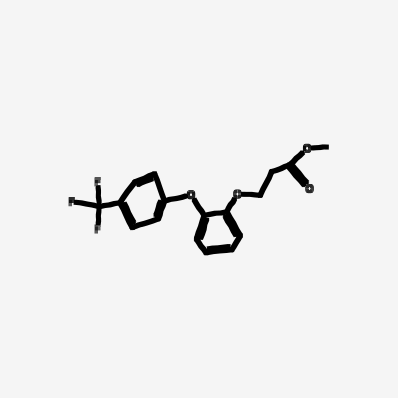 COC(=O)CCOc1ccccc1Oc1ccc(C(F)(F)F)cc1